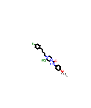 COc1ccc(NC(=O)N2CCN(CCCCc3ccc(F)cc3)CC2)cc1.Cl